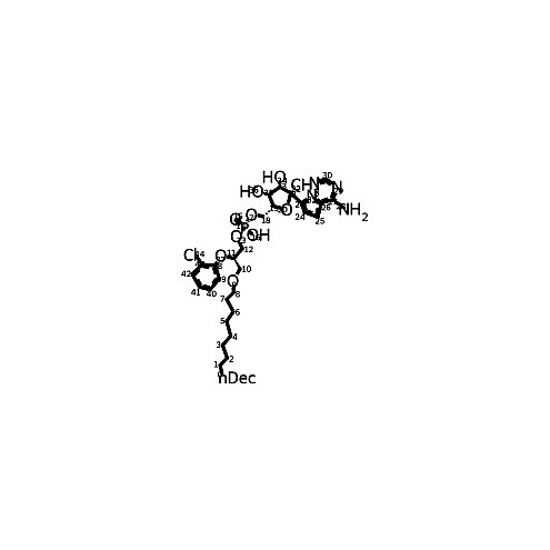 CCCCCCCCCCCCCCCCCCOC[C@H](COP(=O)(O)OC[C@H]1O[C@@](C)(c2ccc3c(N)ncnn23)[C@H](O)[C@@H]1O)Oc1ccccc1Cl